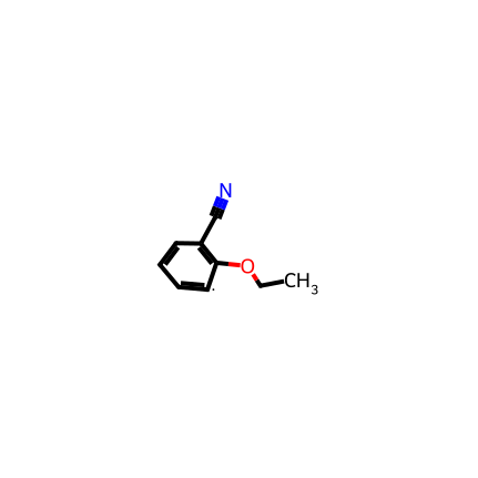 CCOc1[c]cccc1C#N